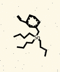 C=Cc1cccc([CH2][Sn]([CH2]CCC)([CH2]CCC)[CH2]CCC)c1